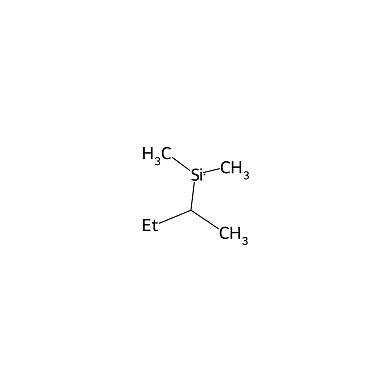 CCC(C)[Si](C)C